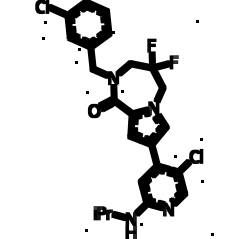 CC(C)Nc1cc(-c2cc3n(c2)CC(F)(F)CN(Cc2cccc(Cl)c2)C3=O)c(Cl)cn1